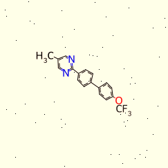 Cc1cnc(-c2ccc(-c3ccc(OC(F)(F)F)cc3)cc2)nc1